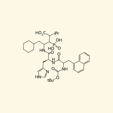 CC(C)C(C(=O)O)C(C(CC1CCCCC1)NC(=O)[C@H](Cc1c[nH]cn1)NC(=O)C(Cc1cccc2ccccc12)NC(=O)OC(C)(C)C)P(=O)(O)O